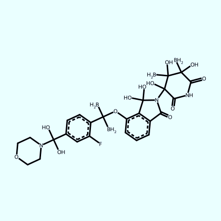 BC(B)(Oc1cccc2c1C(O)(O)N(C1(O)C(=O)NC(=O)C(B)(O)C1(B)O)C2=O)c1ccc(C(O)(O)N2CCOCC2)cc1F